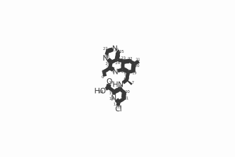 CCc1nc2c([C@@H](C)Nc3ccc(Cl)nc3C(=O)O)cc(C)cc2c2cncnc12